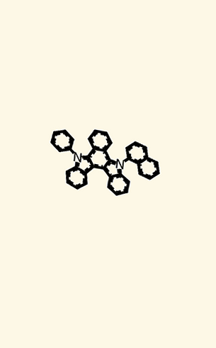 c1ccc(-n2c3ccccc3c3c4c5ccccc5n(-c5cccc6ccccc56)c4c4ccccc4c32)cc1